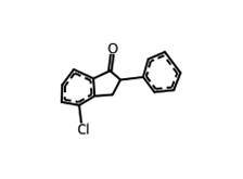 O=C1c2cccc(Cl)c2CC1c1ccccc1